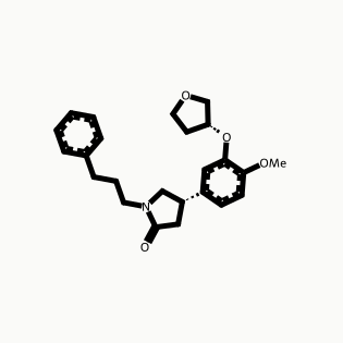 COc1ccc([C@@H]2CC(=O)N(CCCc3ccccc3)C2)cc1O[C@@H]1CCOC1